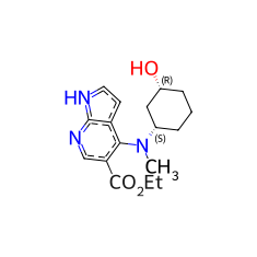 CCOC(=O)c1cnc2[nH]ccc2c1N(C)[C@H]1CCC[C@@H](O)C1